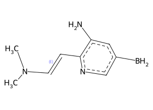 Bc1cnc(/C=C/N(C)C)c(N)c1